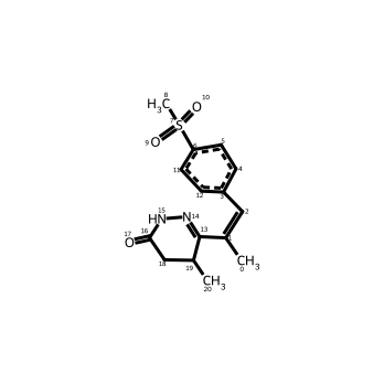 CC(=Cc1ccc(S(C)(=O)=O)cc1)C1=NNC(=O)CC1C